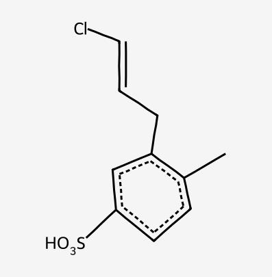 Cc1ccc(S(=O)(=O)O)cc1CC=CCl